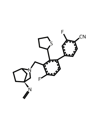 C=N[C@@]12CCC(C1)N(Cc1c(F)ccc(-c3ccc(C#N)c(F)c3)c1C1CCCS1)C2